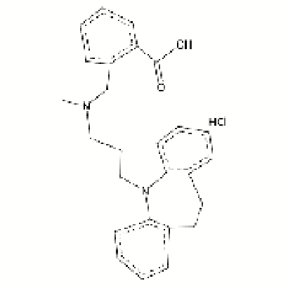 CN(CCCN1c2ccccc2CCc2ccccc21)Cc1ccccc1C(=O)O.Cl